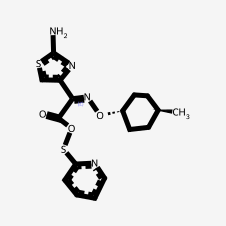 C[C@H]1CC[C@H](O/N=C(\C(=O)OSc2ccccn2)c2csc(N)n2)CC1